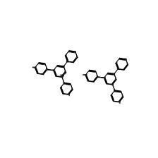 O=C(O)c1ccc(-c2cc(-c3ccc(C(=O)O)cc3)cc(-c3ccc(C(=O)O)cc3)c2)cc1.O=C(O)c1ccc(-c2cc(-c3ccc(C(=O)O)cc3)cc(-c3ccc(C(=O)O)cc3)c2)cc1